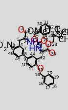 COC(=O)[C@@H](N)Cc1cc(-c2ccc(OCc3ccccc3)c(C[C@H](NC(=O)OCc3ccccc3)C(=O)OCC[Si](C)(C)C)c2)ccc1[N+](=O)[O-]